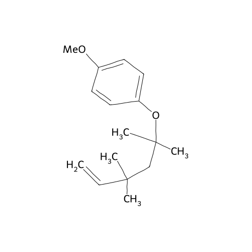 C=CC(C)(C)CC(C)(C)Oc1ccc(OC)cc1